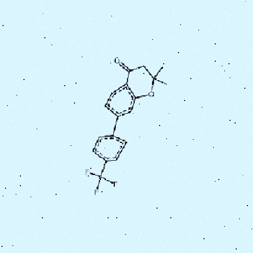 CC1(C)CC(=O)c2ccc(-c3ccc(C(F)(F)F)cc3)cc2O1